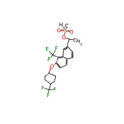 CC(OS(C)(=O)=O)c1ccc2ccc(OC3CCC(C(F)(F)F)CC3)c(C(F)(F)F)c2c1